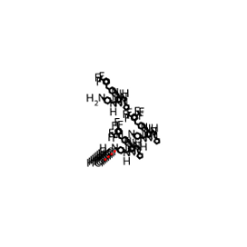 Cl.Cl.Cl.Cl.Cl.Cl.Cl.Cl.Cl.NC1CCC(Nc2nc(NN3CCC(Cc4cc(C(F)(F)F)cc(C(F)(F)F)c4)CC3)c3ncn(C4CCCC4)c3n2)CC1.NC1CCC(Nc2nc(NN3CCC(Cc4ccc(C(F)(F)F)cc4C(F)(F)F)CC3)c3ncn(C4CCCC4)c3n2)CC1.NC1CCC(Nc2nc(NN3CCC(Cc4cccc(C(F)(F)F)c4)CC3)c3ncn(C4CCCC4)c3n2)CC1